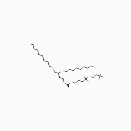 CCCCCCCCCCCCCCCCCCOCC(CCNC(=O)OCCCC(C)(C)OCCC(C)(C)OC)OCCCCCCCCCCCCCCCCCC